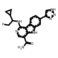 NC(=O)c1cnc(NC(CF)C2CC2)c2c1[nH]c1cc(-c3c[nH]nn3)ccc12